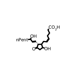 CCCCCC(O)/C=C/[C@H]1C(=O)CC(O)C1C/C=C\CCCC(=O)O